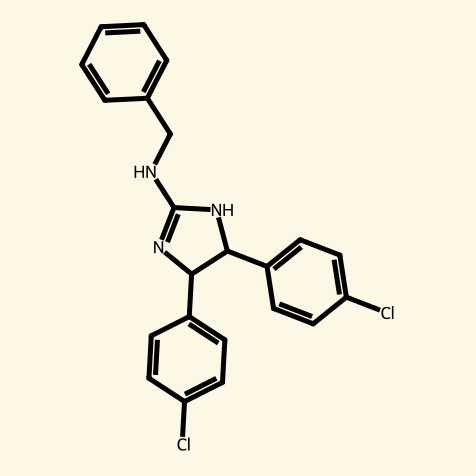 Clc1ccc(C2N=C(NCc3ccccc3)NC2c2ccc(Cl)cc2)cc1